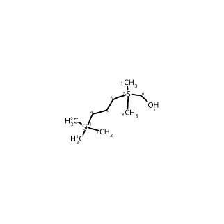 C[Si](C)(C)CCC[Si](C)(C)CO